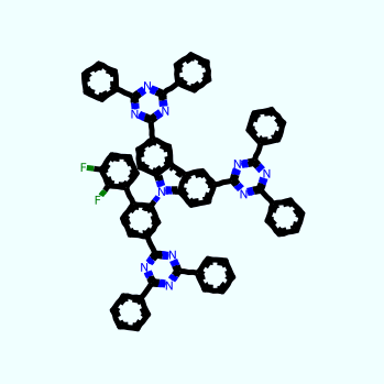 Fc1cccc(-c2ccc(-c3nc(-c4ccccc4)nc(-c4ccccc4)n3)cc2-n2c3ccc(-c4nc(-c5ccccc5)nc(-c5ccccc5)n4)cc3c3cc(-c4nc(-c5ccccc5)nc(-c5ccccc5)n4)ccc32)c1F